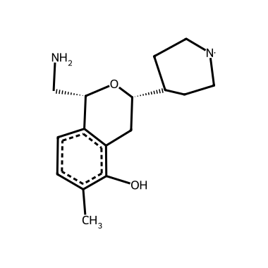 Cc1ccc2c(c1O)C[C@@H](C1CC[N]CC1)O[C@H]2CN